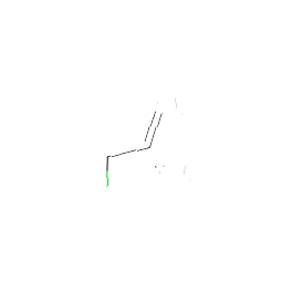 C=CCCl.[MgH2]